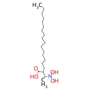 CCCCCCCCCCCCCCCCC(C(=O)O)C(C)N(O)O